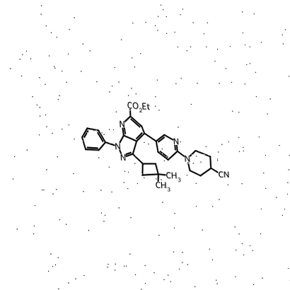 CCOC(=O)c1cc(-c2ccc(N3CCC(C#N)CC3)nc2)c2c(C3CC(C)(C)C3)nn(-c3ccccc3)c2n1